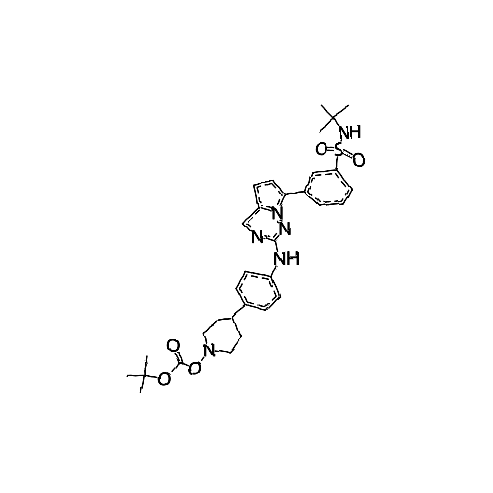 CC(C)(C)NS(=O)(=O)c1cccc(-c2ccc3cnc(Nc4ccc(C5CCN(OC(=O)OC(C)(C)C)CC5)cc4)nn23)c1